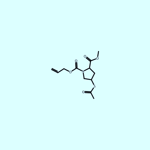 C=CCOC(=O)N1CC(SC(C)=O)CC1C(=O)OC